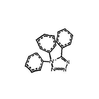 c1ccc(C2=NN=N[N+]2(c2ccccc2)c2ccccc2)cc1